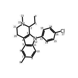 CCC1c2c(c3cc(C)ccc3n2-c2ccc(Cl)cc2)CCN1C